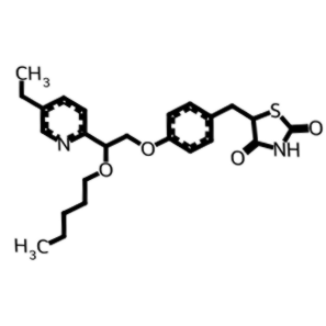 CCCCCOC(COc1ccc(CC2SC(=O)NC2=O)cc1)c1ccc(CC)cn1